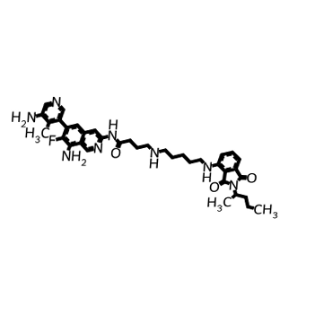 CCCC(C)N1C(=O)c2cccc(NCCCCCNCCCC(=O)Nc3cc4cc(-c5cncc(N)c5C)c(F)c(N)c4cn3)c2C1=O